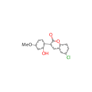 COc1ccc(-c2cc3cc(Cl)ccc3oc2=O)c(O)c1